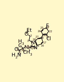 CCOCCn1c(CNC(C)(C)C(N)=O)nc2ccc(C3=C(Cl)CC(F)C=C3)cc21